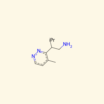 Cc1ccnnc1C(CN)C(C)C